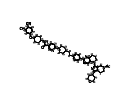 CC(=O)N1CCc2c(c(N3CCCc4nc(-c5ccc(CCC6CCN(c7ccc(C(=O)NC8CCC(Oc9ccc(C#N)c(Cl)c9)CC8)nn7)CC6)nc5)ncc43)nn2C2CCOCC2)C1